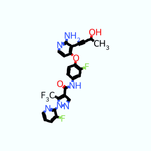 CC(O)C#Cc1c(Oc2ccc(NC(=O)c3cnn(-c4ncccc4F)c3C(F)(F)F)cc2F)ccnc1N